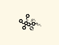 COc1ccc(-c2cc3c(OCc4ccccc4)cc(Cc4ccccc4)c(-c4ccccc4)c3cc2N2CCOCC2)c(OC)c1